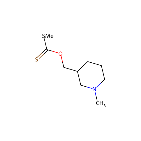 CSC(=S)OCC1CCCN(C)C1